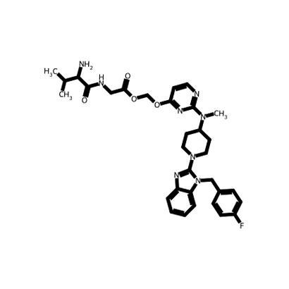 CC(C)C(N)C(=O)NCC(=O)OCOc1ccnc(N(C)C2CCN(c3nc4ccccc4n3Cc3ccc(F)cc3)CC2)n1